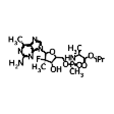 Cc1nc(N)nc2c1ncn2C1OC(COP(C)(=O)N[C@@H](C)C(=O)OC(C)C)[C@@H](O)[C@@]1(C)F